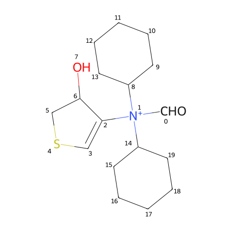 O=C[N+](C1=CSCC1O)(C1CCCCC1)C1CCCCC1